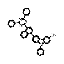 N#Cc1ccc2c(c1)c1cc(-c3ccc(-c4nc(-c5ccccc5)nc(-c5ccccc5)n4)c4ccccc34)ccc1n2-c1ccccc1